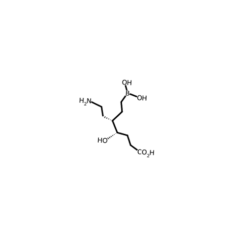 NCC[C@H](CCB(O)O)[C@@H](O)CCC(=O)O